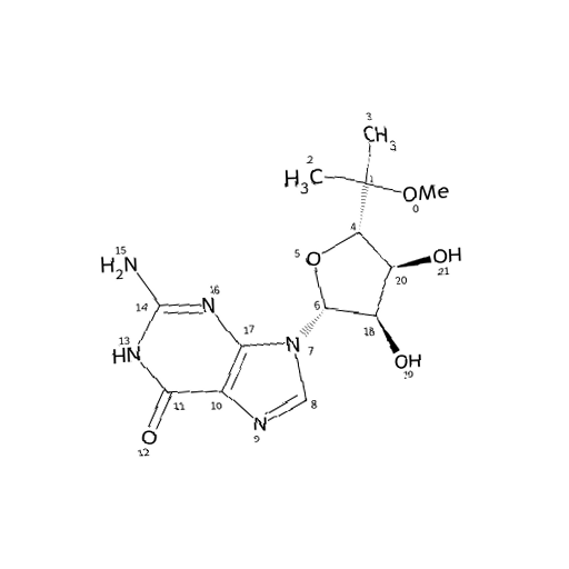 COC(C)(C)[C@H]1O[C@@H](n2cnc3c(=O)[nH]c(N)nc32)[C@H](O)[C@@H]1O